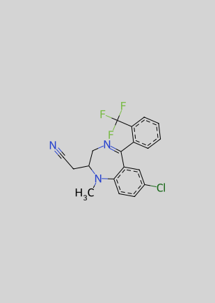 CN1c2ccc(Cl)cc2C(c2ccccc2C(F)(F)F)=NCC1CC#N